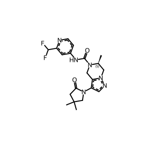 C[C@H]1Cn2ncc(N3CC(C)(C)CC3=O)c2CN1C(=O)Nc1ccnc(C(F)F)c1